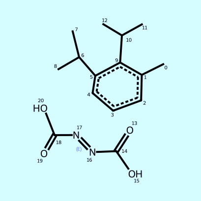 Cc1cccc(C(C)C)c1C(C)C.O=C(O)/N=N/C(=O)O